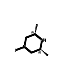 C[C@@H]1CN(I)C[C@H](C)N1